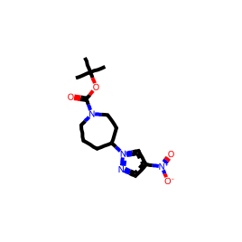 CC(C)(C)OC(=O)N1CCCC(n2cc([N+](=O)[O-])cn2)CC1